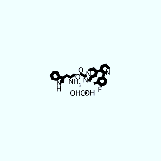 Cc1cc(-c2ncccc2-c2ccn3c(C(=O)OC[C@@H](N)Cc4c[nH]c5ccccc45)ncc3c2)ccc1F.O=CO